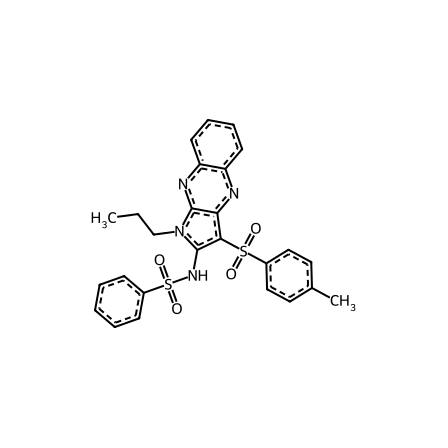 CCCn1c(NS(=O)(=O)c2ccccc2)c(S(=O)(=O)c2ccc(C)cc2)c2nc3ccccc3nc21